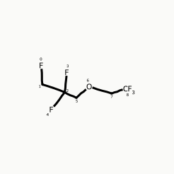 FCC(F)(F)COCC(F)(F)F